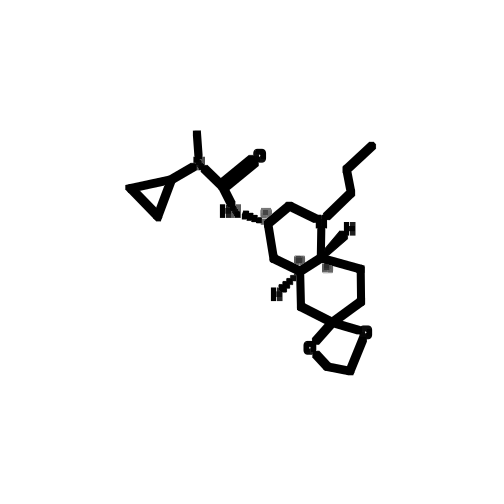 CCCN1C[C@@H](NC(=O)N(C)C2CC2)C[C@@H]2CC3(CC[C@H]21)OCCO3